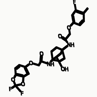 Cc1ccc(OCC(=O)NC23CCC(NC(=O)COc4ccc5c(c4)OC(F)(F)O5)(CC2)C(O)C3)cc1F